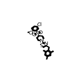 COc1ccc(Cl)cc1S(=O)(=O)C1CCN(c2nc(Cc3c(C)cc(C)cc3C)cs2)CC1